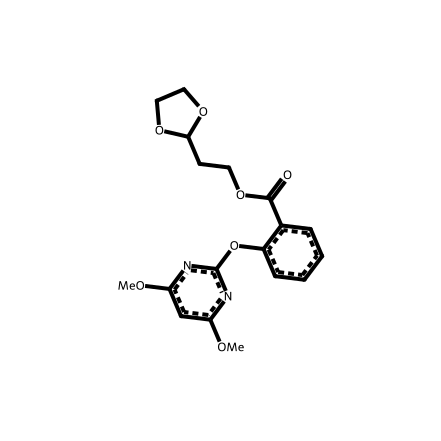 COc1cc(OC)nc(Oc2ccccc2C(=O)OCCC2OCCO2)n1